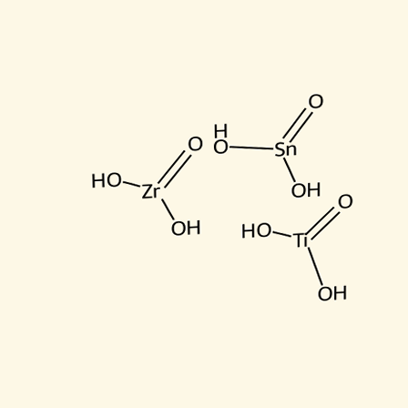 [O]=[Sn]([OH])[OH].[O]=[Ti]([OH])[OH].[O]=[Zr]([OH])[OH]